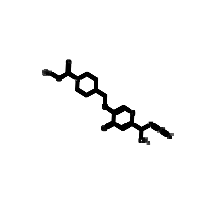 CC(N=[N+]=[N-])c1cc(=O)c(OCC2CCN(C(=O)OC(C)(C)C)CC2)co1